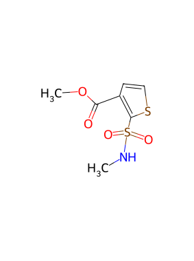 CNS(=O)(=O)c1sccc1C(=O)OC